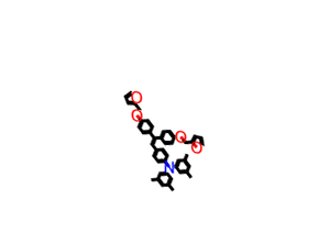 Cc1cc(C)cc(N(c2ccc(C=C(c3ccc(OCc4ccco4)cc3)c3ccc(OCc4ccco4)cc3)cc2)c2cc(C)cc(C)c2)c1